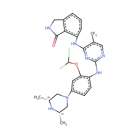 C[C@@H]1CN(c2ccc(Nc3ncc(C(F)(F)F)c(Nc4cccc5c4C(=O)NC5)n3)c(OC(F)F)c2)C[C@H](C)N1